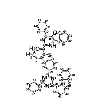 C=Cc1c(C(=C)C(=N)/N=C(/c2ccccc2)c2cc3ccccc3o2)sc2ccc(-c3nc(-c4ccccc4)nc(-c4cccc5sc6ccccc6c45)n3)cc12